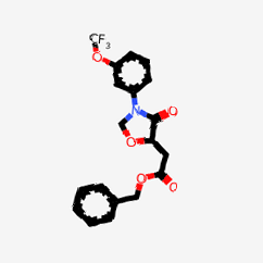 O=C(CC1OCN(c2cccc(OC(F)(F)F)c2)C1=O)OCc1ccccc1